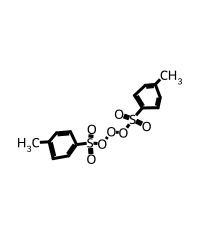 Cc1ccc(S(=O)(=O)OOOS(=O)(=O)c2ccc(C)cc2)cc1